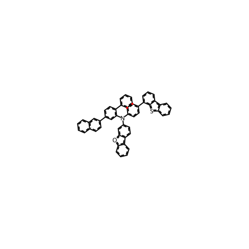 c1ccc(-c2ccc(-c3ccc4ccccc4c3)cc2N(c2ccc(-c3cccc4c3sc3ccccc34)cc2)c2ccc3c(c2)oc2ccccc23)cc1